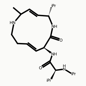 CC(C)N[C@H](C(=O)N[C@H]1/C=C/CCNC(C)/C=C/[C@H](C(C)C)NC1=O)C(C)C